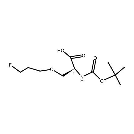 CC(C)(C)OC(=O)N[C@@H](COCCCF)C(=O)O